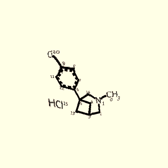 CN1CC2CC(c3ccc(Cl)cc3)(C2)C1.Cl